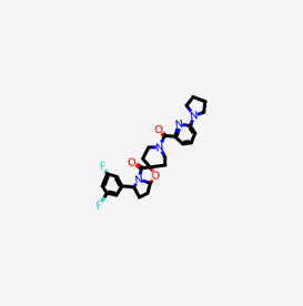 O=C(c1cccc(N2CCCC2)n1)N1CCC2(CC1)OC1CCC(c3cc(F)cc(F)c3)N1C2=O